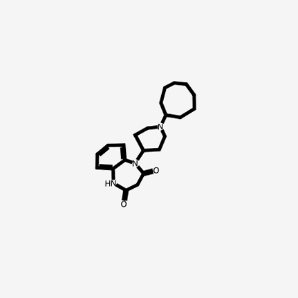 O=C1CC(=O)N(C2CCN(C3CCCCCCC3)CC2)c2ccccc2N1